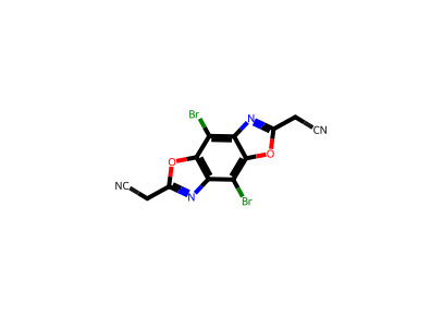 N#CCc1nc2c(Br)c3oc(CC#N)nc3c(Br)c2o1